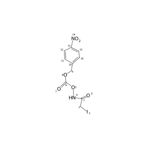 O=C(CI)NOC(=O)OCc1ccc([N+](=O)[O-])cc1